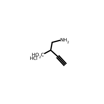 C#CC(CN)C(=O)O.Cl